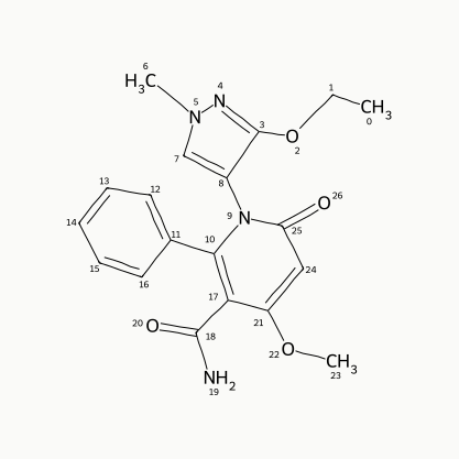 CCOc1nn(C)cc1-n1c(-c2ccccc2)c(C(N)=O)c(OC)cc1=O